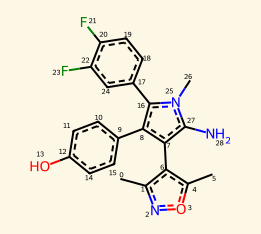 Cc1noc(C)c1-c1c(-c2ccc(O)cc2)c(-c2ccc(F)c(F)c2)n(C)c1N